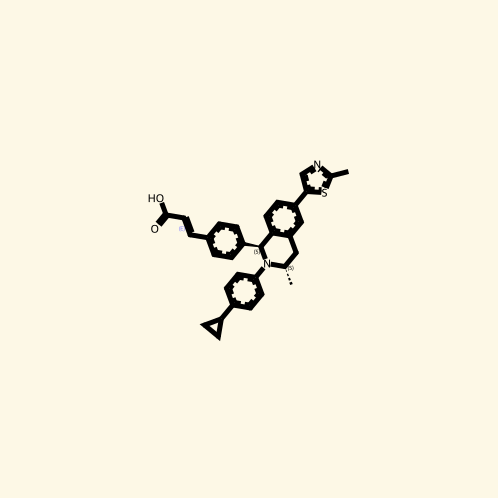 Cc1ncc(-c2ccc3c(c2)C[C@H](C)N(c2ccc(C4CC4)cc2)[C@H]3c2ccc(/C=C/C(=O)O)cc2)s1